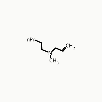 C=CCN(C)CCCCC